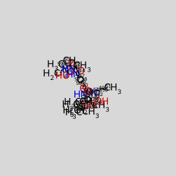 C=CCN(C(=O)O)C(C(=O)NC(C)C(=O)Nc1ccc(COC(=O)Nc2cc(O[Si](C(C)C)(C(C)C)C(C)C)c(OC)cc2C(=O)N2C=C(C=CC)CC2CO)cc1)C(C)C